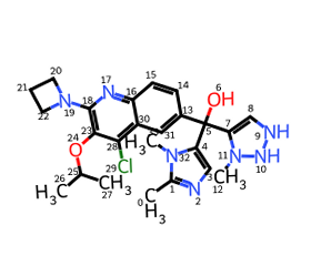 Cc1ncc(C(O)(C2=CNNN2C)c2ccc3nc(N4CCC4)c(OC(C)C)c(Cl)c3c2)n1C